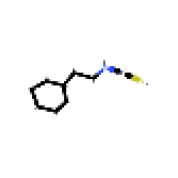 S=C=NCCC1CCCCC1